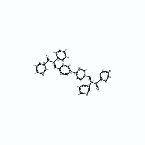 O=C(/C(=C/c1ccc(-c2ccc(/C=C(/C(=O)c3ccccc3)c3ccccc3)cc2)cc1)c1ccccc1)c1ccccc1